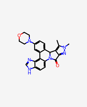 Cc1c2c(nn1C)C(=O)N1c3ccc4[nH]cnc4c3-c3cc(N4CCOCC4)ccc3C21